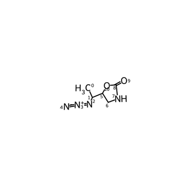 CC(N=[N+]=[N-])C1CNC(=O)O1